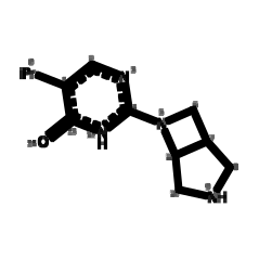 CC(C)c1cnc(N2CC3CNCC32)[nH]c1=O